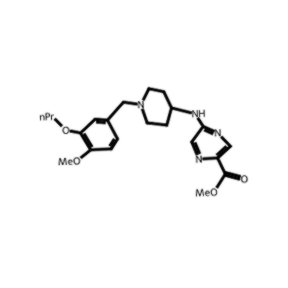 CCCOc1cc(CN2CCC(Nc3cnc(C(=O)OC)cn3)CC2)ccc1OC